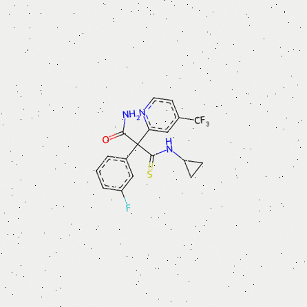 NC(=O)C(C(=S)NC1CC1)(c1cccc(F)c1)c1cc(C(F)(F)F)ccn1